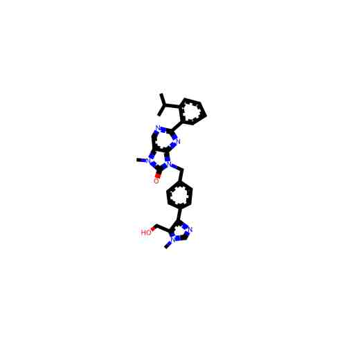 CC(C)c1ccccc1-c1ncc2c(n1)n(Cc1ccc(-c3ncn(C)c3CO)cc1)c(=O)n2C